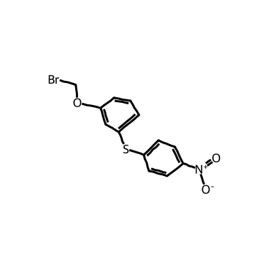 O=[N+]([O-])c1ccc(Sc2cccc(OCBr)c2)cc1